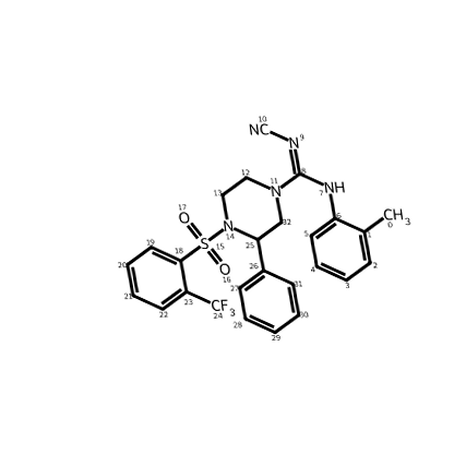 Cc1ccccc1N/C(=N/C#N)N1CCN(S(=O)(=O)c2ccccc2C(F)(F)F)C(c2ccccc2)C1